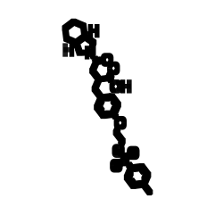 Cc1ccc(S(=O)(=O)OCCOc2ccc(CC(CC(=O)N3C[C@H]4CCCC[C@H]4C3)C(=O)O)cc2)cc1